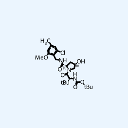 COc1cc(C)cc(Cl)c1CNC(=O)[C@@H]1C[C@@H](O)CN1C(=O)[C@@H](NC(=O)OC(C)(C)C)C(C)(C)C